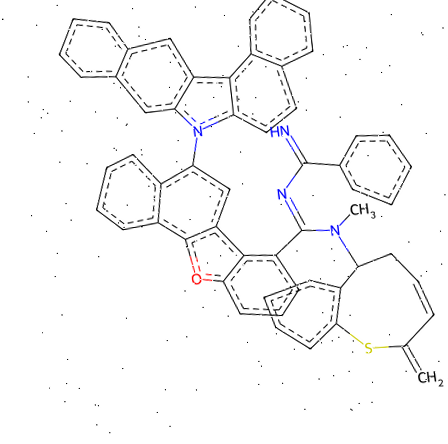 C=C1/C=C\CC(N(C)/C(=N\C(=N)c2ccccc2)c2cccc3oc4c5ccccc5c(-n5c6cc7ccccc7cc6c6c7ccccc7ccc65)cc4c23)c2ccccc2S1